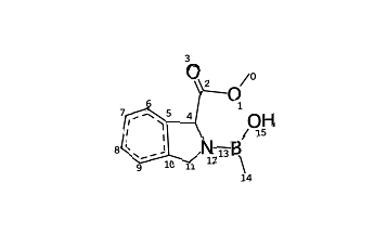 COC(=O)C1c2ccccc2CN1B(C)O